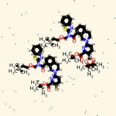 CC(C)(C)OC(=O)c1nc(N2CCc3cccc(C(=O)N(COCC[Si](C)(C)C)c4nc5ccccc5s4)c3C2)ccc1B1OC(C)(C)C(C)(C)O1.CC(C)(C)OC(=O)c1nc(N2CCc3cccc(C(=O)N(COCC[Si](C)(C)C)c4nc5ccccc5s4)c3C2)ccc1Br